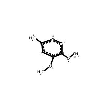 COc1cc(C)nnc1OC